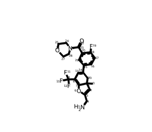 CC12C=C(CN)OC1=C(C(F)(F)F)C=C(c1ccc(F)c(C(=O)N3CCOCC3)c1)C2